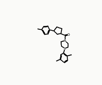 Cc1ccc(C2CCC(C(=O)N3CCN(c4cc(C)ccc4C)CC3)C2)cc1